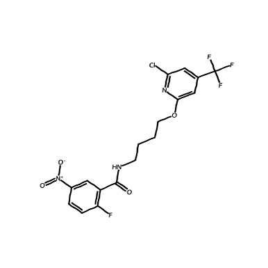 O=C(NCCCCOc1cc(C(F)(F)F)cc(Cl)n1)c1cc([N+](=O)[O-])ccc1F